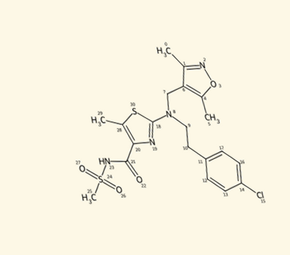 Cc1noc(C)c1CN(CCc1ccc(Cl)cc1)c1nc(C(=O)NS(C)(=O)=O)c(C)s1